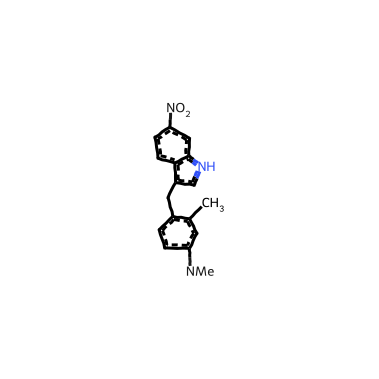 CNc1ccc(Cc2c[nH]c3cc([N+](=O)[O-])ccc23)c(C)c1